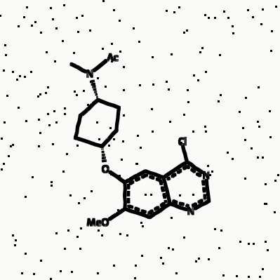 COc1cc2ncnc(Cl)c2cc1O[C@H]1CC[C@@H](N(C)C(C)=O)CC1